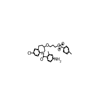 Cc1ccc(S(=O)(=O)OCCCOC2CCc3cc(Cl)ccc3N(C(=O)c3ccc(N)cc3C)C2)cc1